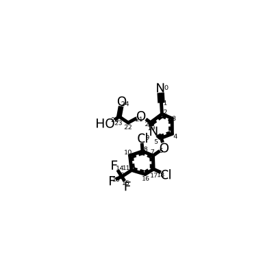 N#Cc1ccc(Oc2c(Cl)cc(C(F)(F)F)cc2Cl)nc1OCC(=O)O